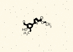 CCOC(=O)c1ccc(-c2cc(C=O)c(O)c(CC)c2)s1